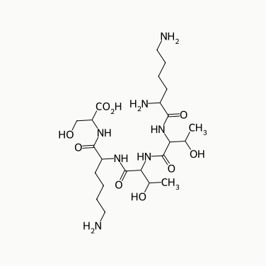 CC(O)C(NC(=O)C(N)CCCCN)C(=O)NC(C(=O)NC(CCCCN)C(=O)NC(CO)C(=O)O)C(C)O